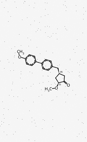 COc1ccc(-c2ccc(C[C@H]3CC(=O)[C@@H](OC)C3)cc2)cc1